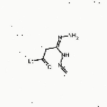 C=NN/C(CC(=O)CC)=N\N